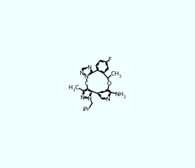 Cc1nn(CC(C)C)c2c1Cn1ncnc1-c1ccc(F)cc1C(C)Oc1cc-2cnc1N